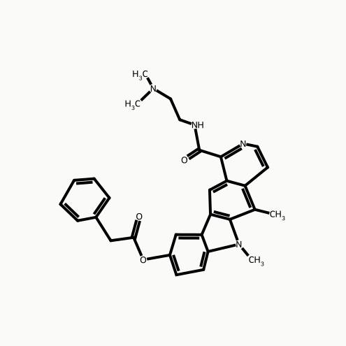 Cc1c2ccnc(C(=O)NCCN(C)C)c2cc2c3cc(OC(=O)Cc4ccccc4)ccc3n(C)c12